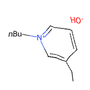 CCCC[n+]1cccc(C)c1.[OH-]